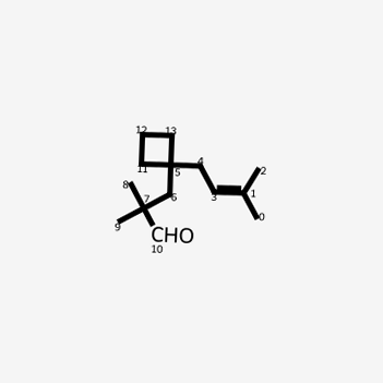 CC(C)=CCC1(CC(C)(C)C=O)CCC1